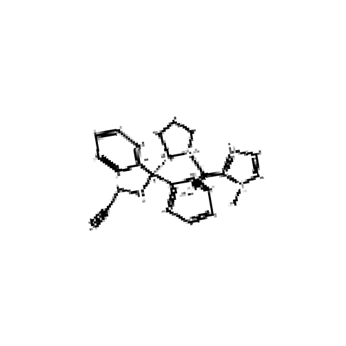 C#CCOC(c1ccccc1)(c1ccccc1)[C@@H]1CCCN1C(=O)c1nccn1C